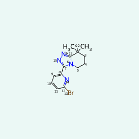 CC1(C)CCCn2c(-c3cccc(Br)n3)nnc21